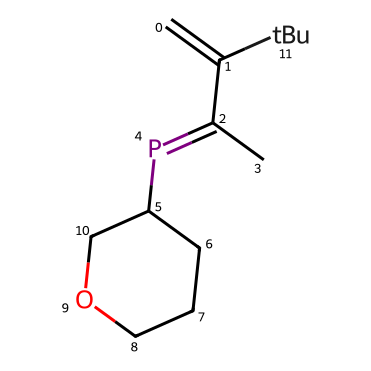 C=C(/C(C)=P/C1CCCOC1)C(C)(C)C